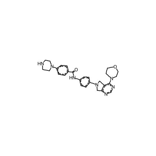 O=C(Nc1ccc(N2Cc3ncnc(N4CCOCC4)c3C2)cc1)c1ccc(N2CCNCC2)cc1